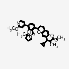 COC(=O)C(C)C(c1ccc2c(c1)OC(c1ccc(-c3ccnc(OC)c3)cc1CN1CCCC1(C)C)CC2)C1CC1